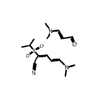 CC(C)S(=O)(=O)C(C#N)=CC=CN(C)C.CN(C)C=CC=O